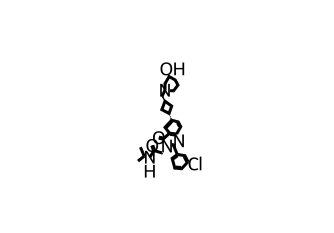 CC(C)NC(=O)Cn1c(-c2cccc(Cl)c2)nc2ccc([C@H]3C[C@H](CN4CCC[C@@H](O)C4)C3)cc2c1=O